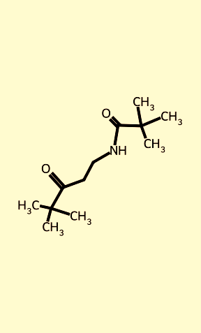 CC(C)(C)C(=O)CCNC(=O)C(C)(C)C